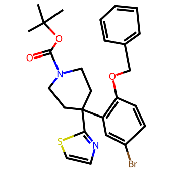 CC(C)(C)OC(=O)N1CCC(c2nccs2)(c2cc(Br)ccc2OCc2ccccc2)CC1